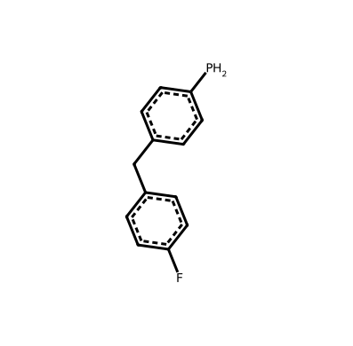 Fc1ccc(Cc2ccc(P)cc2)cc1